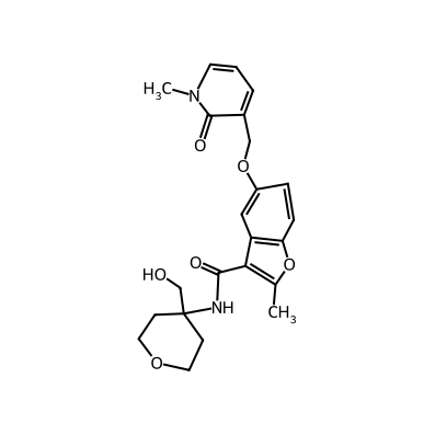 Cc1oc2ccc(OCc3cccn(C)c3=O)cc2c1C(=O)NC1(CO)CCOCC1